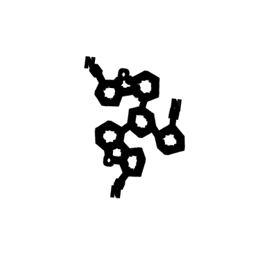 N#Cc1ccccc1-c1cc(-c2cccc3oc4c(C#N)cccc4c23)cc(-c2cccc3oc4c(C#N)cccc4c23)c1